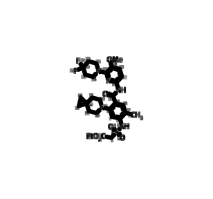 CCOC(=O)CS(=O)(=O)Nc1cc(N2CCC3(CC2)CC3)c(C(=O)Nc2ccc(OC)c(N3CCC(F)(F)CC3)n2)cc1C